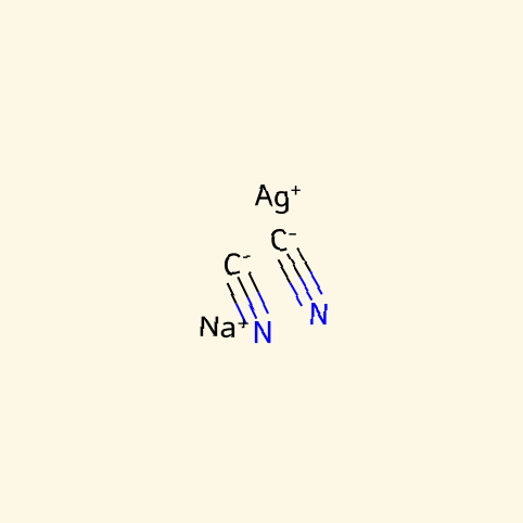 [Ag+].[C-]#N.[C-]#N.[Na+]